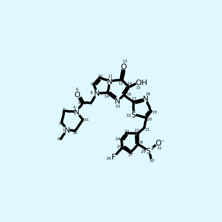 CN1CCN(C(=O)Cn2ccn3c(=O)c(O)c(-c4ncc(Cc5ccc(F)cc5[S+](C)[O-])s4)nc23)CC1